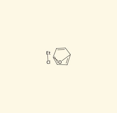 CCCl.c1cc2ccc1o2